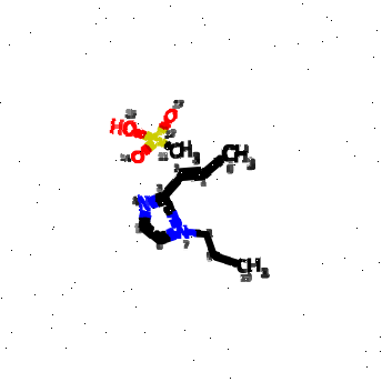 CC=Cc1nccn1CCC.CS(=O)(=O)O